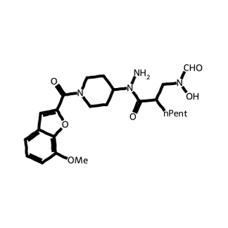 CCCCCC(CN(O)C=O)C(=O)N(N)C1CCN(C(=O)c2cc3cccc(OC)c3o2)CC1